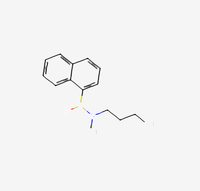 CCCCN(C)[S+]([O-])c1cccc2ccccc12